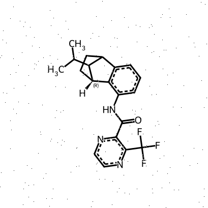 CC(C)C1C2CC[C@H]1c1c(NC(=O)c3nccnc3C(F)(F)F)cccc12